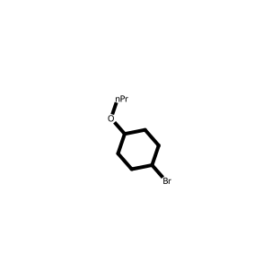 CCCOC1CCC(Br)CC1